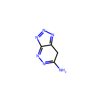 NC1=NN=C2N=NN=C2C1